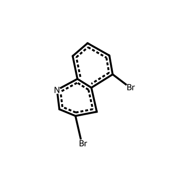 Brc1cnc2cccc(Br)c2c1